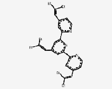 CCC(=Cc1ccnc(-c2cc(C=C(CC)CC)cc(-c3cc(C=C(CC)CC)ccn3)n2)c1)CC